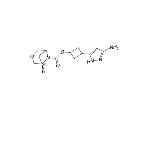 Nc1cc(C2CC(OC(=O)N3C4COC[C@@H]3C4)C2)[nH]n1